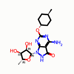 C[C@H]1O[C@@H](n2[nH]c(=O)c3c(N)nc(O[C@H]4CC[C@H](C)CC4)nc32)[C@H](O)[C@@H]1O